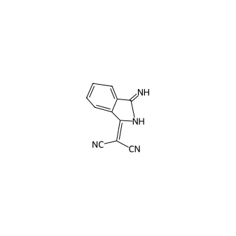 N#CC(C#N)=C1NC(=N)c2ccccc21